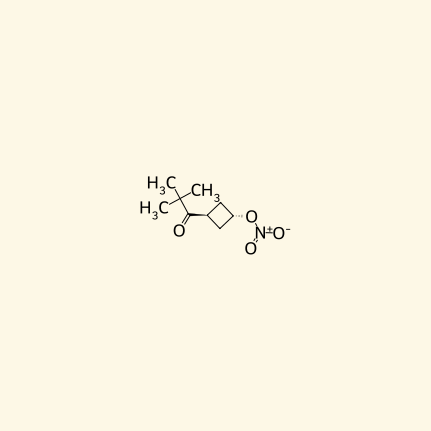 CC(C)(C)C(=O)[C@H]1C[C@H](O[N+](=O)[O-])C1